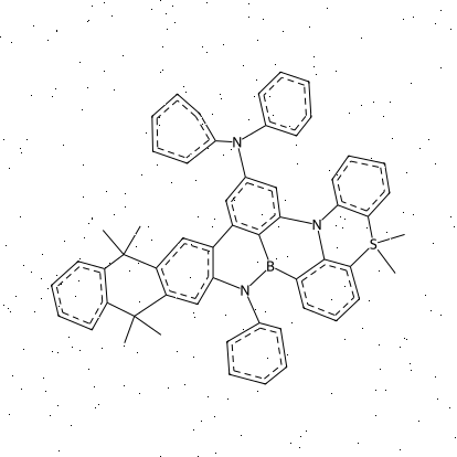 CC1(C)c2ccccc2C(C)(C)c2cc3c(cc21)-c1cc(N(c2ccccc2)c2ccccc2)cc2c1B(c1cccc4c1N2c1ccccc1S4(C)C)N3c1ccccc1